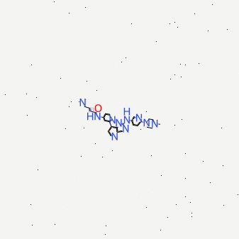 CN(C)C/C=C/C(=O)Nc1ccnc(-c2ccnc3cnc(Nc4ccc(N5CCN(C)CC5)nc4)nc23)c1